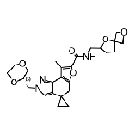 Cc1c(C(=O)NCC2CCC3(COC3)O2)oc2c1-c1nn(C[C@H]3COCCO3)cc1C1(CC1)C2